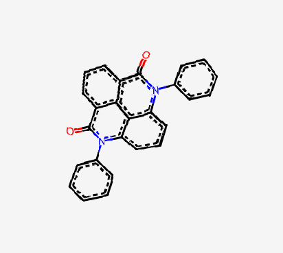 O=c1c2cccc3c(=O)n(-c4ccccc4)c4cccc(c4c23)n1-c1ccccc1